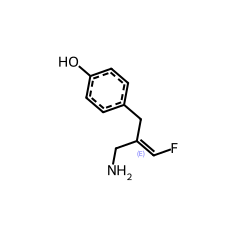 NC/C(=C/F)Cc1ccc(O)cc1